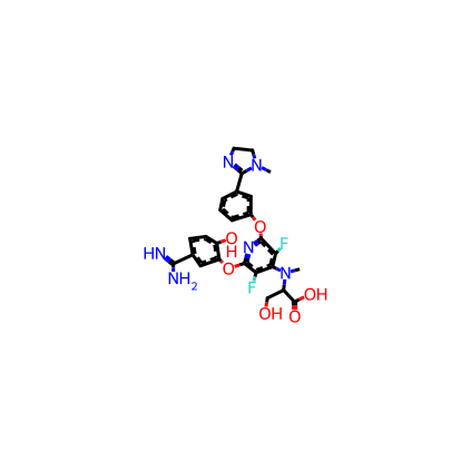 CN1CCN=C1c1cccc(Oc2nc(Oc3cc(C(=N)N)ccc3O)c(F)c(N(C)C(CO)C(=O)O)c2F)c1